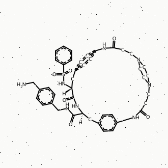 NCc1ccc(CNC(=O)[C@@H]2Cc3ccc(cc3)NC(=O)CCN3CCN(CCC(=O)Nc4ccc(cc4)C[C@@H](NS(=O)(=O)c4ccccc4)C(=O)N2)CC3)cc1